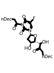 CCCCCCCCCCCC(=O)C(O)[C@H]1O[C@@H](n2cc(F)c(=O)n(C(=O)CCCCCCCCCCC)c2=O)C[C@@H]1O